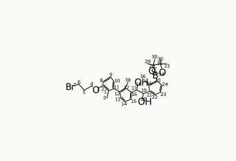 Cc1c(OCCCBr)cccc1-c1cccc(C(O)C(O)c2cccc(B3OC(C)(C)C(C)(C)O3)c2C)c1C